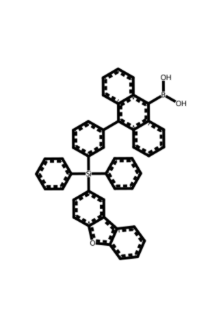 OB(O)c1c2ccccc2c(-c2cccc([Si](c3ccccc3)(c3ccccc3)c3ccc4oc5ccccc5c4c3)c2)c2ccccc12